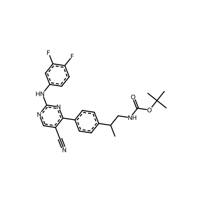 CC(CNC(=O)OC(C)(C)C)c1ccc(-c2nc(Nc3ccc(F)c(F)c3)ncc2C#N)cc1